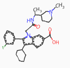 CC(NC(=O)Cn1c(-c2cccc(F)c2)c(C2CCCCC2)c2ccc(C(=O)O)cc21)C1CCCN(C)C1